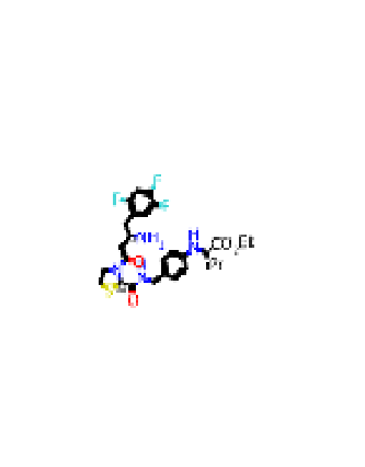 CCOC(=O)[C@@H](Nc1ccc(CNC(=O)[C@H]2SCCN2C(=O)C[C@H](N)Cc2cc(F)c(F)cc2F)cc1)C(C)C